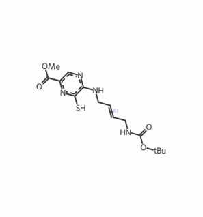 COC(=O)c1cnc(NC/C=C/CNC(=O)OC(C)(C)C)c(S)n1